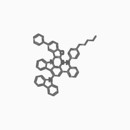 CCCCCc1ccc(N2B3c4oc5ccc(-c6ccccc6)cc5c4-n4c5ccccc5c5c(-n6c7ccccc7c7ccccc76)cc(c3c54)-c3ccccc32)cc1